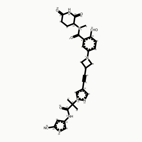 CN(C(=O)c1cc(N2CC(C#Cc3cnn(C(C)(C)C(=O)Nc4csc(C#N)c4)c3)C2)ccc1C=O)C1CCC(=O)NC1=O